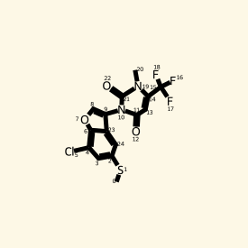 CSc1cc(Cl)c2occ(-n3c(=O)cc(C(F)(F)F)n(C)c3=O)c2c1